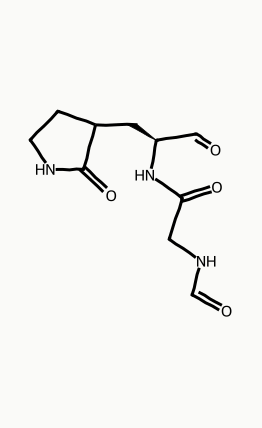 O=CNCC(=O)N[C@H](C=O)CC1CCNC1=O